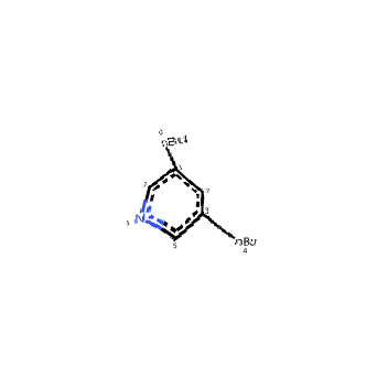 CCCCc1[c]c(CCCC)cnc1